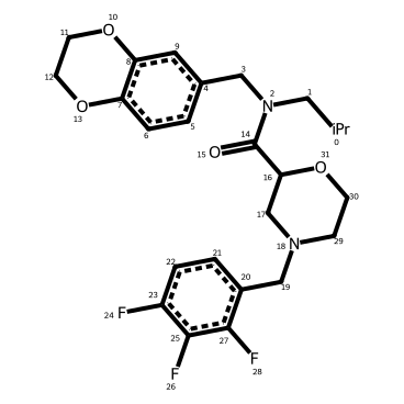 CC(C)CN(Cc1ccc2c(c1)OCCO2)C(=O)C1CN(Cc2ccc(F)c(F)c2F)CCO1